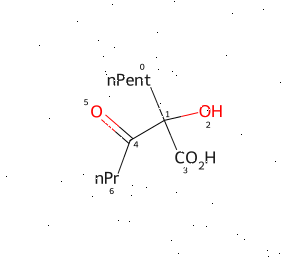 CCCCCC(O)(C(=O)O)C(=O)CCC